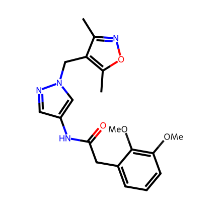 COc1cccc(CC(=O)Nc2cnn(Cc3c(C)noc3C)c2)c1OC